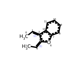 C/C=c1\c(=C/C)oc2ccccc12